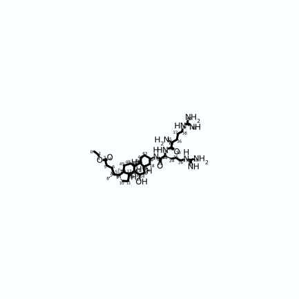 CCOC(=O)CC[C@@H](C)[C@H]1CC[C@H]2[C@@H]3[C@H](O)C[C@@H]4C[C@H](NC(=O)[C@H](CCCNC(=N)N)NC(=O)[C@@H](N)CCCNC(=N)N)CC[C@]4(C)[C@H]3CC[C@]12C